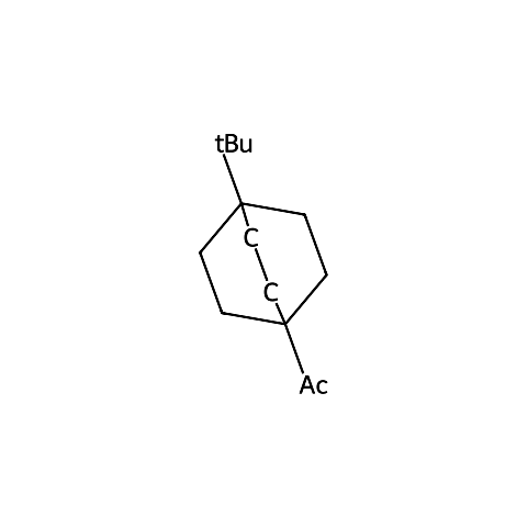 CC(=O)C12CCC(C(C)(C)C)(CC1)CC2